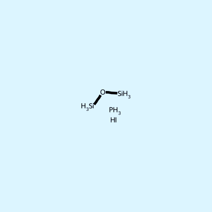 I.P.[SiH3]O[SiH3]